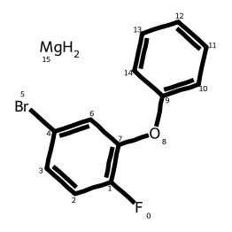 Fc1ccc(Br)cc1Oc1ccccc1.[MgH2]